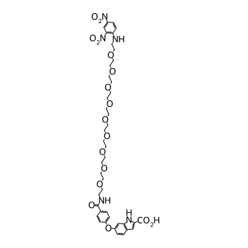 O=C(NCCOCCOCCOCCOCCOCCOCCOCCOCCOCCNc1ccc([N+](=O)[O-])cc1[N+](=O)[O-])c1ccc(Oc2ccc3cc(C(=O)O)[nH]c3c2)cc1